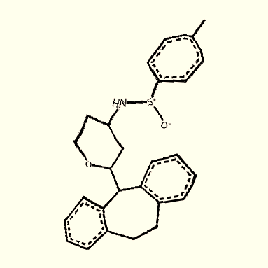 Cc1ccc([S+]([O-])NC2CCOC(C3c4ccccc4CCc4ccccc43)C2)cc1